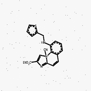 CCOC(=O)C1=C[N+]2(C#N)C(=N1)C=Cc1cccc(NCc3cccs3)c12